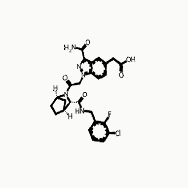 NC(=O)c1nn(CC(=O)N2[C@@H]3CC[C@@H](C3)[C@H]2C(=O)NCc2cccc(Cl)c2F)c2ccc(CC(=O)O)cc12